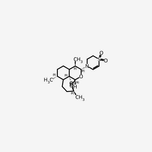 C[C@@H]1CCC2[C@@H](C)[C@H](N3C=CS(=O)(=O)CC3)O[C@@H]3O[C@@]4(C)CCC1[C@@]23OO4